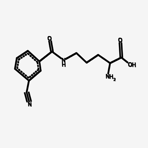 N#Cc1cccc(C(=O)NCCCC(N)C(=O)O)c1